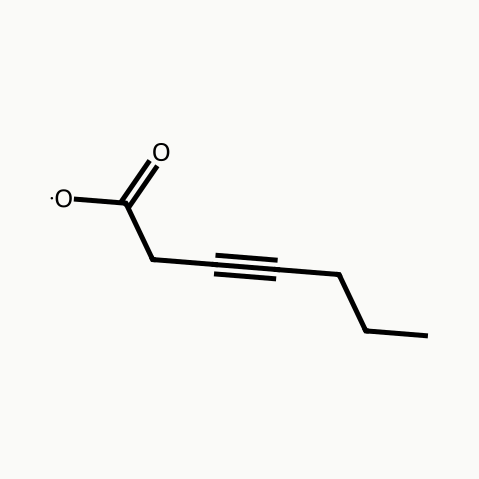 CCCC#CCC([O])=O